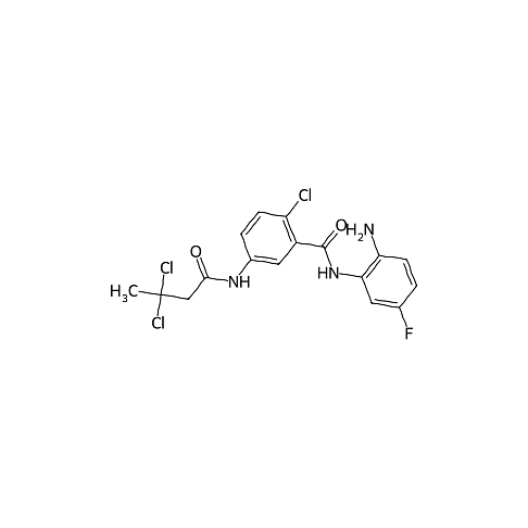 CC(Cl)(Cl)CC(=O)Nc1ccc(Cl)c(C(=O)Nc2cc(F)ccc2N)c1